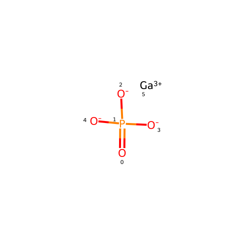 O=P([O-])([O-])[O-].[Ga+3]